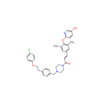 Cc1cc(C=CC(=O)N2CCN(Cc3ccc(CCOc4ccc(Cl)cc4)cc3)CC2)cc(C)c1Oc1ccc(O)cn1